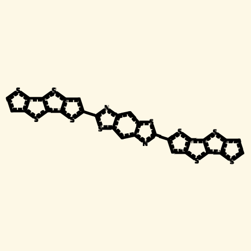 c1cc2sc3c4sc(-c5nc6cc7sc(-c8cc9sc%10c%11sccc%11sc%10c9s8)nc7cc6s5)cc4sc3c2s1